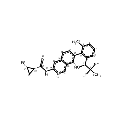 Cc1ccnc([C@H](O)C(C)(F)F)c1-c1ccc2cc(NC(=O)[C@@H]3C[C@@H]3F)ncc2c1